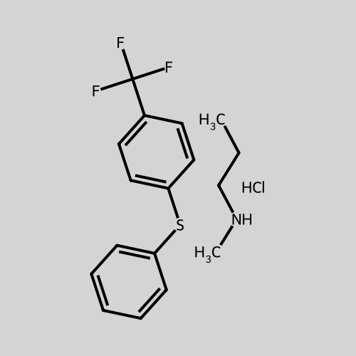 CCCNC.Cl.FC(F)(F)c1ccc(Sc2ccccc2)cc1